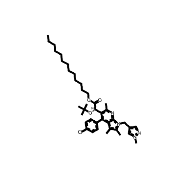 CCCCCCCCCCCCCOC(=O)[C@@H](OC(C)(C)C)c1c(C)nc2c(c(C)c(C)n2Cc2cnn(C)c2)c1-c1ccc(Cl)cc1